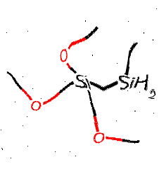 CO[Si](OC)(OC)[SiH2]C